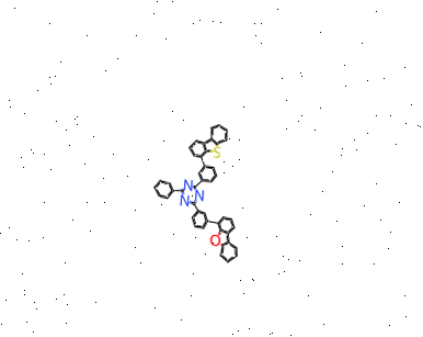 c1ccc(-c2nc(-c3cccc(-c4cccc5c4oc4ccccc45)c3)nc(-c3cccc(-c4cccc5c4sc4ccccc45)c3)n2)cc1